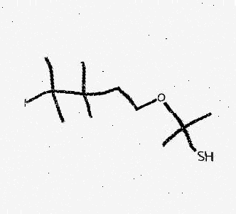 CC(C)(S)OCCC(C)(C)C(C)(C)I